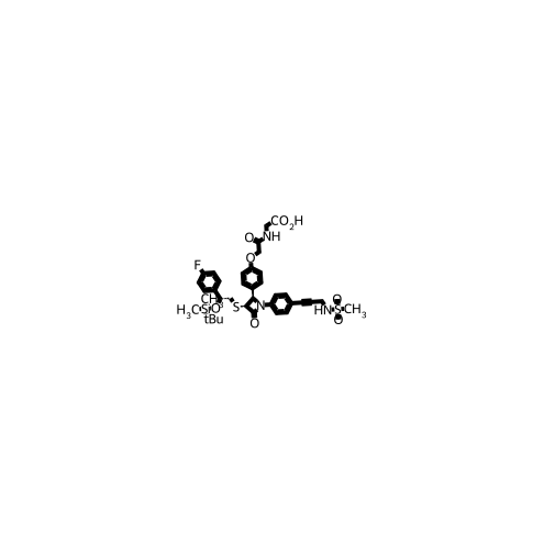 CC(C)(C)[Si](C)(C)O[C@@H](CS[C@H]1C(=O)N(c2ccc(C#CCNS(C)(=O)=O)cc2)[C@@H]1c1ccc(OCC(=O)NCC(=O)O)cc1)c1ccc(F)cc1